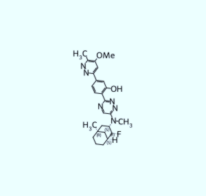 COc1cc(-c2ccc(-c3ncc(N(C)[C@H]4C[C@]5(C)CCC[C@@H](C5)[C@H]4F)nn3)c(O)c2)nnc1C